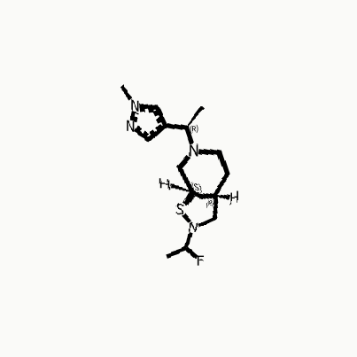 CC(F)N1C[C@H]2CCN([C@H](C)c3cnn(C)c3)C[C@H]2S1